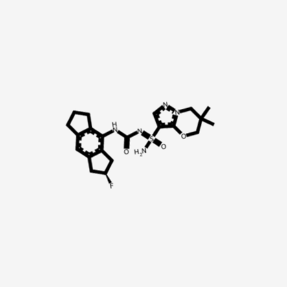 CC1(C)COc2c(S(N)(=O)=NC(=O)Nc3c4c(cc5c3C[C@@H](F)C5)CCC4)cnn2C1